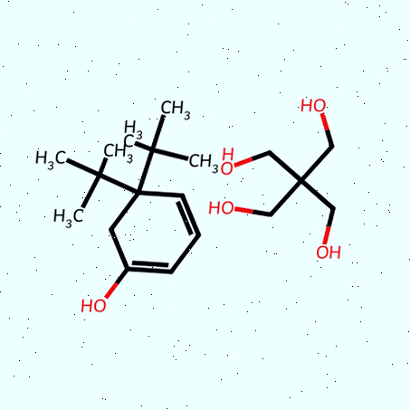 CC(C)(C)C1(C(C)(C)C)C=CC=C(O)C1.OCC(CO)(CO)CO